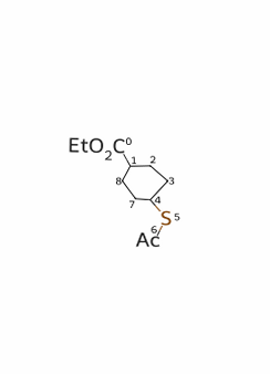 CCOC(=O)C1CCC(SC(C)=O)CC1